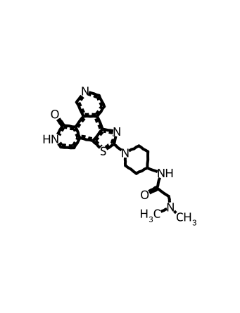 CN(C)CC(=O)NC1CCN(c2nc3c4ccncc4c4c(=O)[nH]ccc4c3s2)CC1